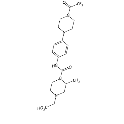 CC1CN(CC(=O)O)CCN1C(=O)Nc1ccc(N2CCN(C(=O)C(F)(F)F)CC2)cc1